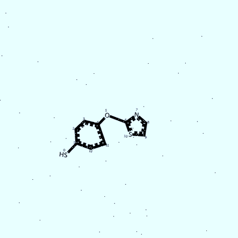 Sc1ccc(Oc2nccs2)cc1